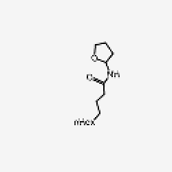 CCCCCCCCCC(=O)NC1CCCO1